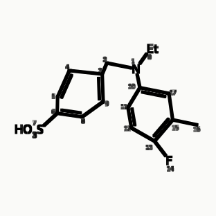 CCN(Cc1ccc(S(=O)(=O)O)cc1)c1ccc(F)c(C)c1